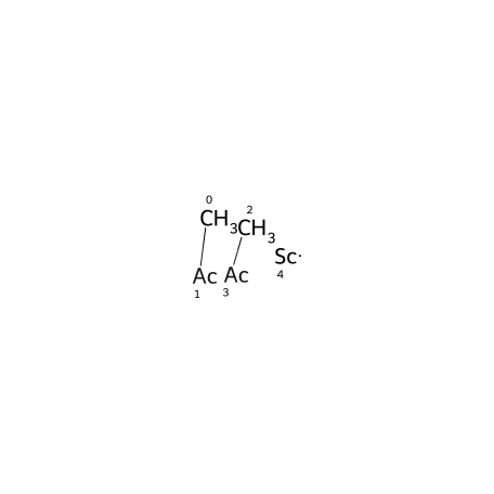 CC(C)=O.CC(C)=O.[Sc]